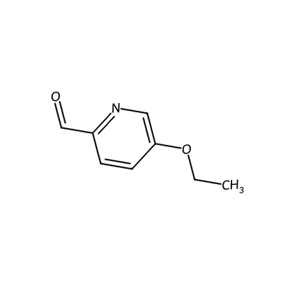 CCOc1ccc(C=O)nc1